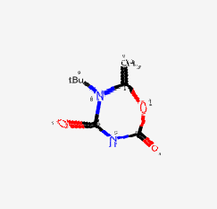 C=C1OC(=O)NC(=O)N1C(C)(C)C